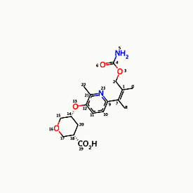 C/C(COC(N)=O)=C(\C)c1ccc(O[C@H]2COC[C@@H](C(=O)O)C2)c(C)n1